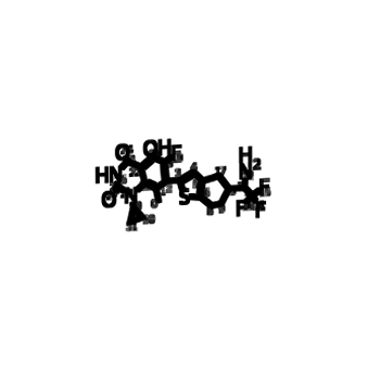 Cc1c(-c2cc3c(s2)CCC(C(N)C(F)(F)F)C3)c(F)c(O)c2c(=O)[nH]c(=O)n(C3CC3)c12